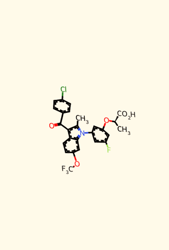 Cc1c(C(=O)c2ccc(Cl)cc2)c2ccc(OC(F)(F)F)cc2n1-c1cc(F)cc(O[C@H](C)C(=O)O)c1